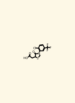 O=C(O)CC1SCN(c2cc(C(F)(F)F)ccc2Cl)C1=O